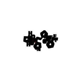 O=S(=O)(CCC[C@@H]1CCCN1S(=O)(=O)c1ccccc1C(F)(F)F)N1[C@@H]2CC[C@H]1C[C@H](Oc1ccncc1)C2